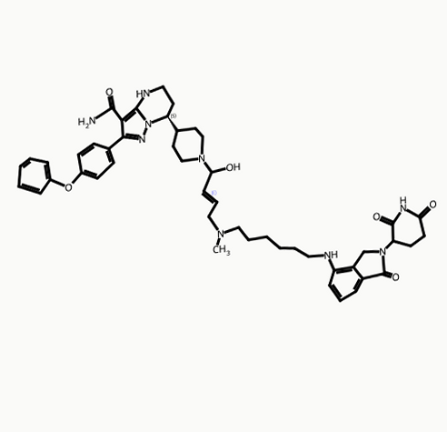 CN(C/C=C/C(O)N1CCC([C@@H]2CCNc3c(C(N)=O)c(-c4ccc(Oc5ccccc5)cc4)nn32)CC1)CCCCCCNc1cccc2c1CN(C1CCC(=O)NC1=O)C2=O